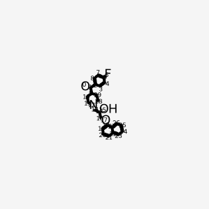 O=C(c1ccc(F)cc1)C1CCN(CC(O)COc2cccc3ccccc23)CC1